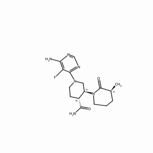 C[C@H]1CCCN([C@@H]2CN(c3ncnc(N)c3F)CC[C@H]2C(N)=O)C1=O